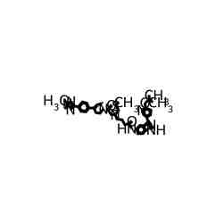 CSCN(CCCC(=O)Nc1ccc2[nH]nc(-c3ccc(OC(C)C)nc3)c2c1)CC(=O)N1CC=C(c2ccc(-c3ncn(C)n3)cc2)CC1